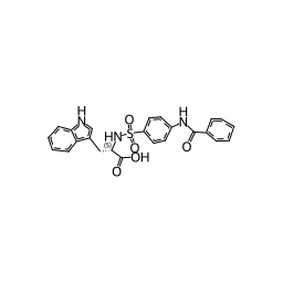 O=C(Nc1ccc(S(=O)(=O)N[C@@H](Cc2c[nH]c3ccccc23)C(=O)O)cc1)c1ccccc1